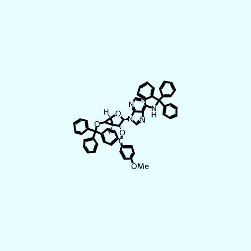 COc1ccc(CO[C@H]2[C@H](n3cnc4c(NC(c5ccccc5)(c5ccccc5)c5ccccc5)ncnc43)O[C@@H]3C(OC(c4ccccc4)(c4ccccc4)c4ccccc4)[C@@]32F)cc1